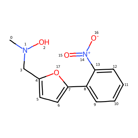 CN(O)Cc1ccc(-c2ccccc2[N+](=O)[O-])o1